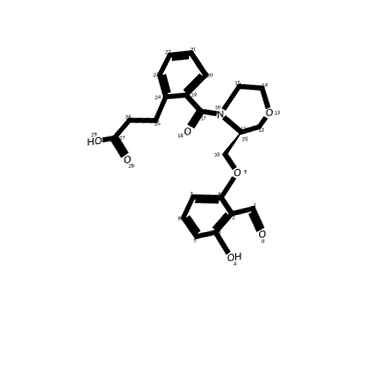 O=Cc1c(O)cccc1OC[C@@H]1COCCN1C(=O)c1ccccc1CCC(=O)O